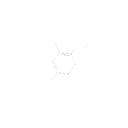 CC1=C(C(=O)O)CCC(C(=O)O)=C1